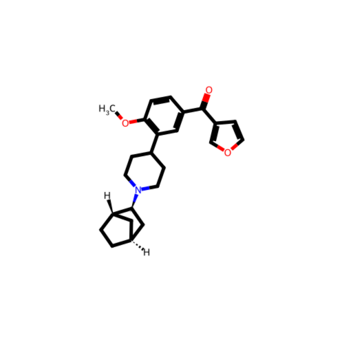 COc1ccc(C(=O)c2ccoc2)cc1C1CCN([C@H]2C[C@H]3CC[C@H]2C3)CC1